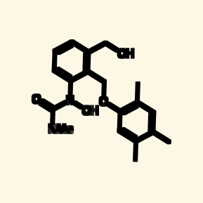 CNC(=O)N(O)c1cccc(CO)c1COc1cc(C)c(C)cc1C